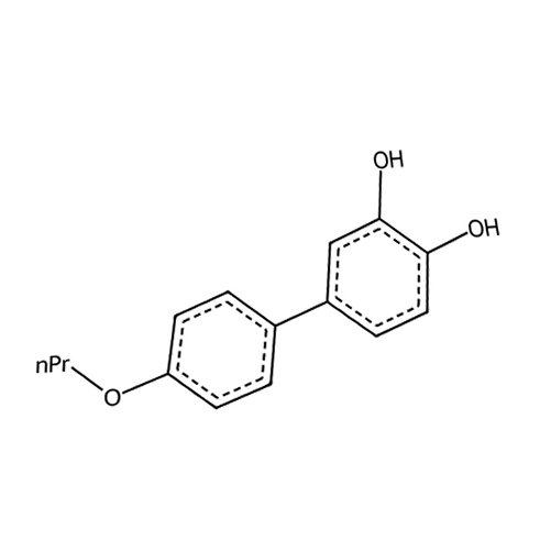 CCCOc1ccc(-c2ccc(O)c(O)c2)cc1